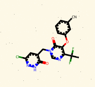 CC(F)(F)c1ncn(Cc2cc(Cl)n[nH]c2=O)c(=O)c1Oc1cccc(C#N)c1